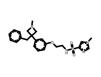 CN1CC(Cc2ccccc2)(c2cccc(OCCNS(=O)(=O)c3cn(C)cn3)c2)C1